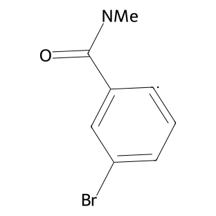 CNC(=O)c1[c]ccc(Br)c1